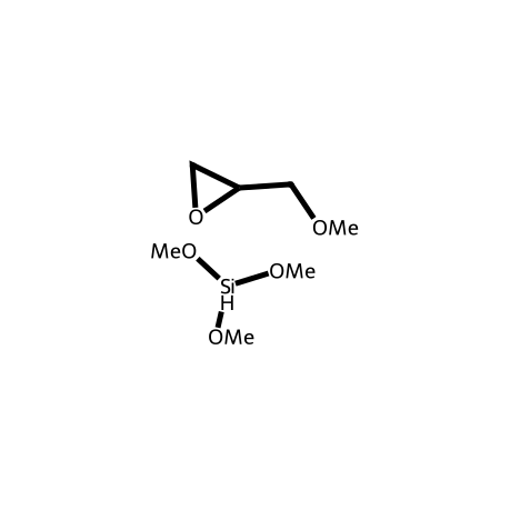 COCC1CO1.CO[SiH](OC)OC